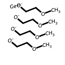 COCC[O-].COCC[O-].COCC[O-].COCC[O-].[Ge+4]